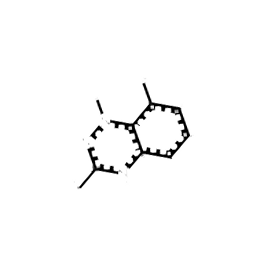 [O-][n+]1nc(Cl)nc2cccc(Br)c21